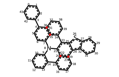 c1ccc(-c2ccc(N(c3ccccc3-c3ccccc3)c3ccc4c(sc5ccccc54)c3-c3ccccc3)cc2)cc1